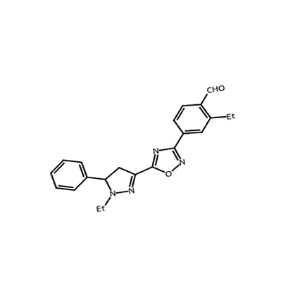 CCc1cc(-c2noc(C3=NN(CC)C(c4ccccc4)C3)n2)ccc1C=O